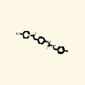 O=C(NCc1ccc(F)cc1)Nc1ccc(CC(=O)N2CCC(O)CC2)cc1